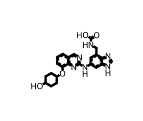 O=C(O)NCc1cc(Nc2ncc3cccc(OC4CCC(O)CC4)c3n2)cc2[nH]cnc12